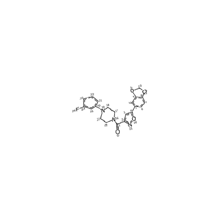 O=C(c1cc(-c2ccc3c(c2)OCO3)on1)N1CCN(c2cccc(F)c2)CC1